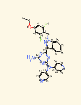 CCOc1cc(F)c(Cn2nc(-c3nc(N)nc(N(c4ccncc4)c4ccncc4)n3)c3ccccc32)c(F)c1